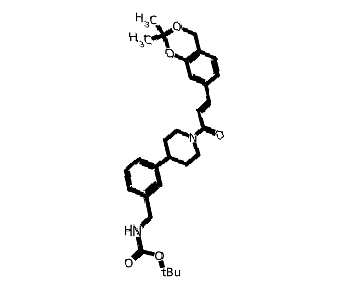 CC(C)(C)OC(=O)NCc1cccc(C2CCN(C(=O)C=Cc3ccc4c(c3)OC(C)(C)OC4)CC2)c1